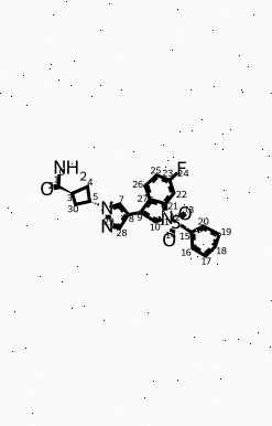 NC(=O)[C@H]1C[C@H](n2cc(-c3cn(S(=O)(=O)c4ccccc4)c4cc(F)ccc34)cn2)C1